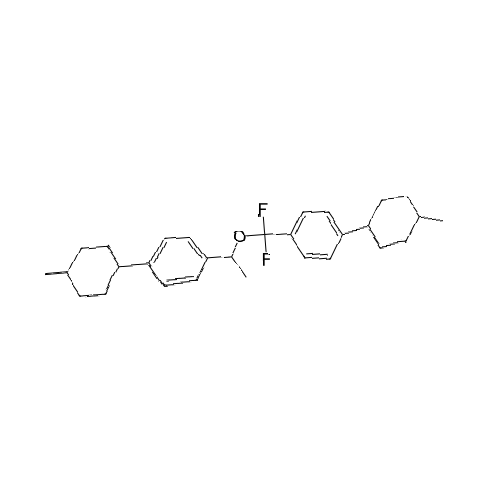 CC1CCC(c2ccc(C(C)OC(F)(F)c3ccc(C4CCC(C)CC4)cc3)cc2)CC1